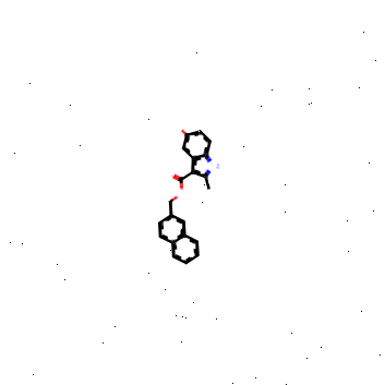 Cc1[nH]c2ccc(O)cc2c1C(=O)OCc1ccc2ccccc2c1